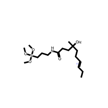 CC/C=C/CCC(C)(O)CCC(=O)NCCC[Si](OC)(OC)OC